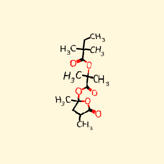 CCC(C)(C)C(=O)OC(C)(C)C(=O)OC1(C)CC(C)C(=O)O1